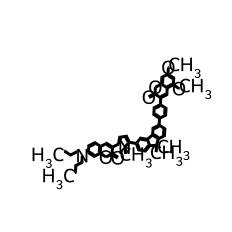 CCCCN(CCCC)c1ccc2cc(-c3ccc(-c4ccc5c(c4)-c4cc(-c6ccc(-c7cc8c(OC)cc(OC)cc8oc7=O)cc6)ccc4C5(C)C)n3C)c(=O)oc2c1